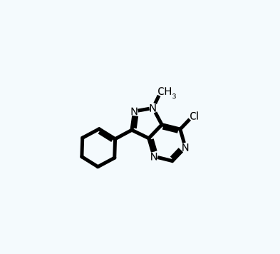 Cn1nc(C2=CCCCC2)c2ncnc(Cl)c21